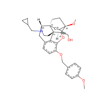 COc1ccc(COc2ccc3c4c2O[C@H]2[C@@]5(OC)CC[C@@]6(C[C@@H]5CO)[C@@H](C3)N(CC3CC3)CC[C@]426)cc1